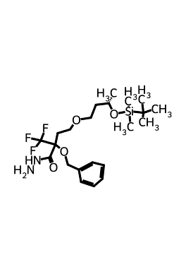 C[C@@H](CCOCCC(OCc1ccccc1)(C(=O)NN)C(F)(F)F)O[Si](C)(C)C(C)(C)C